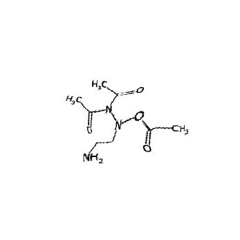 CC(=O)ON(CCN)N(C(C)=O)C(C)=O